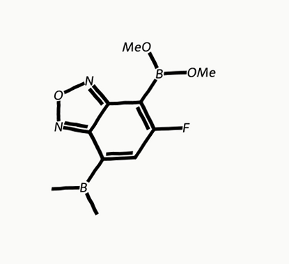 COB(OC)c1c(F)cc(B(C)C)c2nonc12